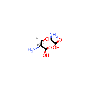 C[C@H](O)[C@H](N)C(=O)O.NCC(=O)O